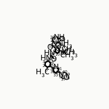 Cc1ccc(NC(=O)Nc2cc(C(C)(C)C)sc2C(=O)N2CCNC(=O)C2(C)C)cc1-c1ccc(N2CCOCC2)cn1